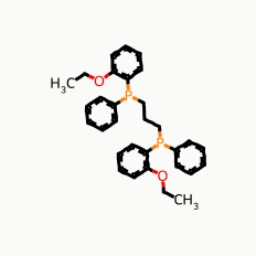 CCOc1ccccc1P(CCCP(c1ccccc1)c1ccccc1OCC)c1ccccc1